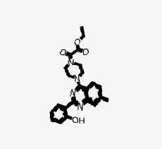 CCOC(=O)C(=O)N1CCN(c2nc(-c3ccccc3O)nc3cc(C)ccc23)CC1